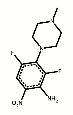 CN1CCN(c2c(F)cc([N+](=O)[O-])c(N)c2F)CC1